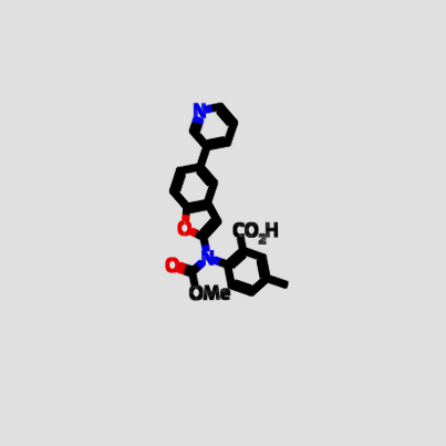 COC(=O)N(c1cc2cc(-c3cccnc3)ccc2o1)c1ccc(C)cc1C(=O)O